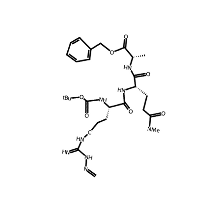 C=NNC(=N)NCCC[C@H](NC(=O)OC(C)(C)C)C(=O)N[C@@H](CCC(=O)NC)C(=O)N[C@@H](C)C(=O)OCc1ccccc1